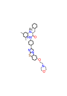 CC(=O)N(c1cc(C)cc(C)c1)C(Cc1ccccc1)C(=O)Nc1ccc(-c2cn3c(n2)sc2ccc(OCCN4CCOCC4)cc23)cc1